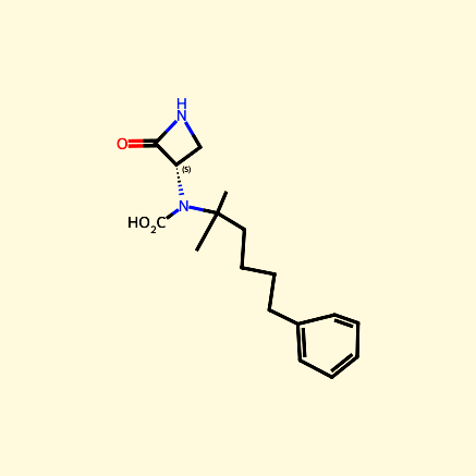 CC(C)(CCCCc1ccccc1)N(C(=O)O)[C@H]1CNC1=O